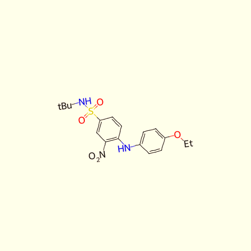 CCOc1ccc(Nc2ccc(S(=O)(=O)NC(C)(C)C)cc2[N+](=O)[O-])cc1